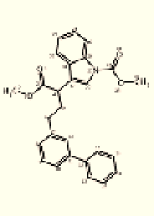 COC(=O)C(CCc1cccc(-c2ccccc2)c1)c1cn(C(=O)OC)c2ccccc12